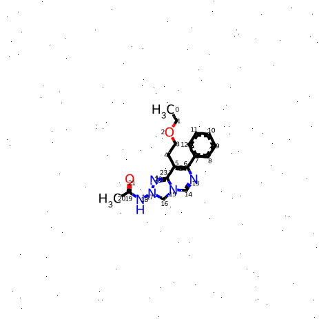 CCOCCC1=C(c2ccccc2)N=CN2CN(NC(C)=O)N=C12